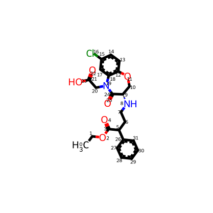 CCOC(=O)C(CCN[C@H]1COc2ccc(Cl)cc2N(CC(=O)O)C1=O)c1ccccc1